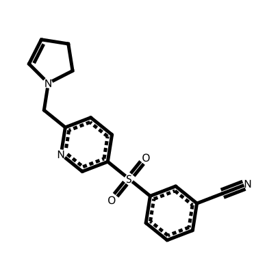 N#Cc1cccc(S(=O)(=O)c2ccc(CN3C=CCC3)nc2)c1